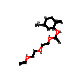 C=COCCOCCOC(C)OC1CC(C(C)C)CCC1=C